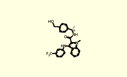 C[C@H](NC(=O)c1c(Nc2cccc(C(F)(F)F)c2)c2ccccc2n1C)c1ccc(CO)cc1